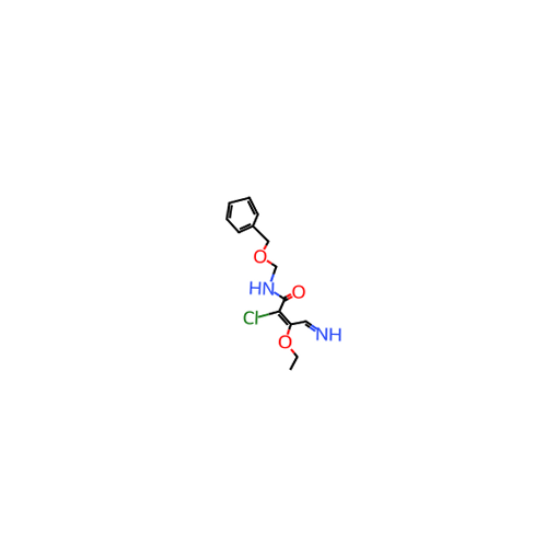 CCO/C(C=N)=C(\Cl)C(=O)NCOCc1ccccc1